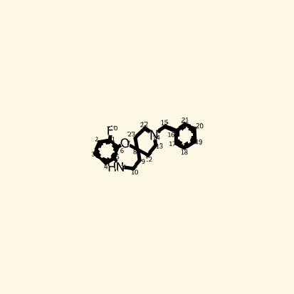 Fc1cccc2c1OC1(CCN2)CCN(Cc2ccccc2)CC1